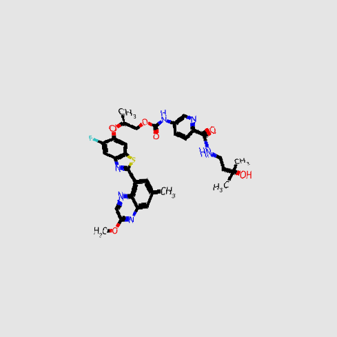 COc1cnc2c(-c3nc4cc(F)c(O[C@@H](C)COC(=O)Nc5ccc(C(=O)NCCC(C)(C)O)nc5)cc4s3)cc(C)cc2n1